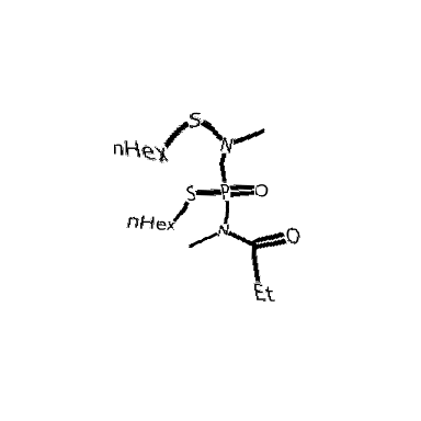 CCCCCCSN(C)P(=O)(SCCCCCC)N(C)C(=O)CC